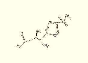 CS(=O)(=O)c1ccc([C@H](O)[C@H](N)CC(=O)O)cc1